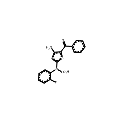 Nc1nc(N(C(=O)O)c2ccccc2F)sc1C(=O)c1ccccc1